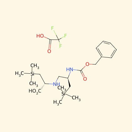 C[Si](C)(C)C[C@@H](CN[C@@H](C[Si](C)(C)C)C(=O)O)NC(=O)OCc1ccccc1.O=C(O)C(F)(F)F